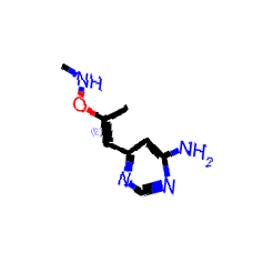 CNO/C(C)=C/c1cc(N)ncn1